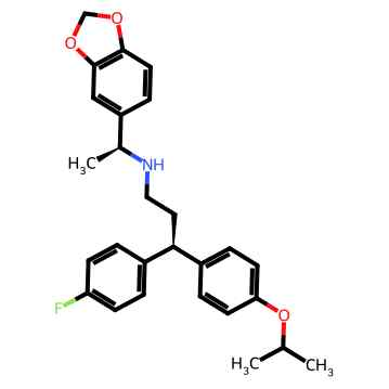 CC(C)Oc1ccc([C@H](CCN[C@@H](C)c2ccc3c(c2)OCO3)c2ccc(F)cc2)cc1